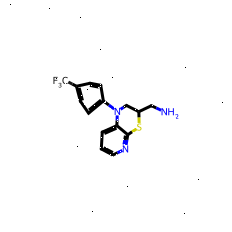 NCC1CN(c2ccc(C(F)(F)F)cc2)c2cccnc2S1